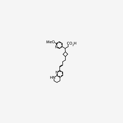 COc1ccc(C(CC(=O)O)C2CC(CCC=Cc3ccc4c(n3)NCCC4)C2)cn1